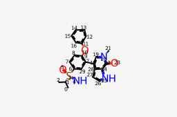 CC(C)S(=N)(=O)c1ccc(Oc2ccccc2)c(-c2cn(C)c(=O)c3[nH]ccc23)c1